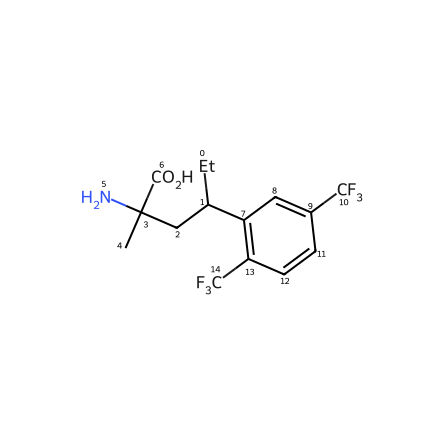 CCC(CC(C)(N)C(=O)O)c1cc(C(F)(F)F)ccc1C(F)(F)F